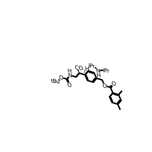 CC(C)NC(C)C.Cc1ccc(C(=O)OCc2ccc([C@@H](CNC(=O)OC(C)(C)C)C(=O)O)cc2)c(C)c1